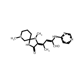 CC(/C=C(\C=O)Nc1ccncn1)=C1\C(=O)NC2(CCCN(C)C2)N1C